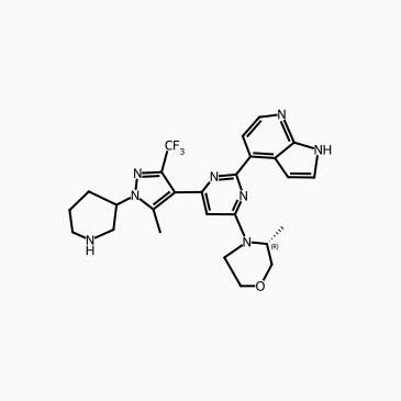 Cc1c(-c2cc(N3CCOC[C@H]3C)nc(-c3ccnc4[nH]ccc34)n2)c(C(F)(F)F)nn1C1CCCNC1